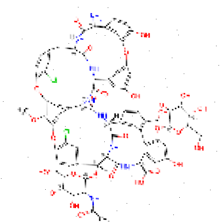 COc1c2cc3cc1Oc1ccc(cc1Cl)[C@@H](O[C@@H]1OC(CO)[C@@H](O)C(O)C1NC(C)=O)[C@@H]1NC(=O)[C@H](NC(=O)[C@@H]3NC(=O)C3NC(=O)[C@@H](Cc4ccc(c(Cl)c4)O2)NC(=O)[C@H](N)c2ccc(O)c(c2)Oc2cc(O)cc3c2)c2ccc(CO)c(c2)-c2c(O[C@H]3OC(CO)[C@@H](O)C(O)C3O)cc(O)cc2[C@@H](C(=O)O)NC1=O